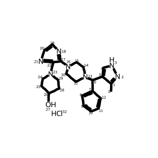 Cc1n[nH]cc1C(c1ccccc1)N1CCN(c2nccnc2N2CCC(O)CC2)CC1.Cl